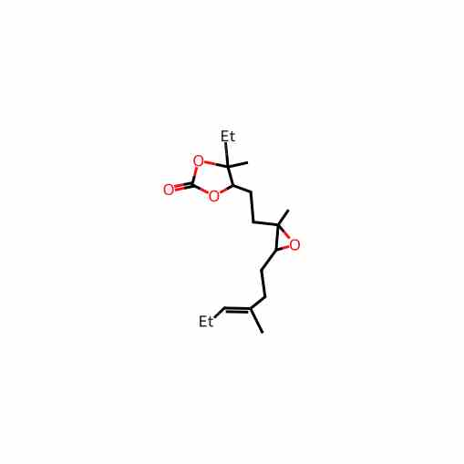 CCC=C(C)CCC1OC1(C)CCC1OC(=O)OC1(C)CC